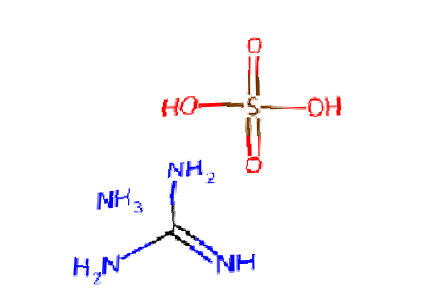 N.N=C(N)N.O=S(=O)(O)O